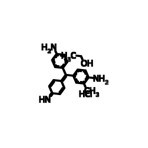 CCO.Cc1cc(C(=C2C=CC(=N)C=C2)c2ccc(N)cc2)ccc1N.Cl